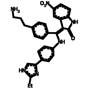 CCc1nc(-c2ccc(N/C(=C3\C(=O)Nc4ccc([N+](=O)[O-])cc43)c3ccc(CCCN)cc3)cc2)c[nH]1